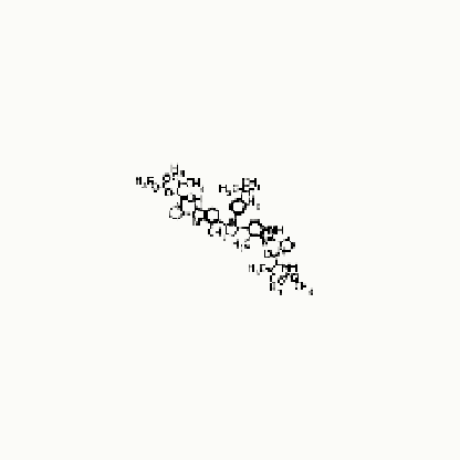 COC(=O)N[C@H](C(=O)N1CCC[C@H]1c1nc2c(C)c([C@H]3CCC(c4ccc5[nH]c([C@@H]6CCCN6C(=O)[C@@H](OC(=O)OC)C(C)C)nc5c4C)N3c3ccc(C(C)(C)C)cc3)ccc2[nH]1)C(C)C